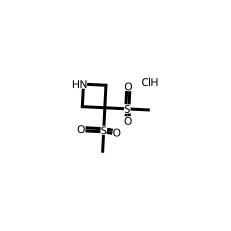 CS(=O)(=O)C1(S(C)(=O)=O)CNC1.Cl